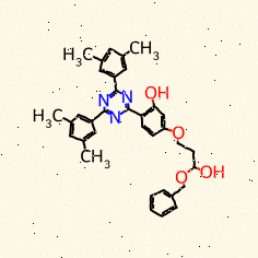 Cc1cc(C)cc(-c2nc(-c3cc(C)cc(C)c3)nc(-c3ccc(OCCC(O)OCc4ccccc4)cc3O)n2)c1